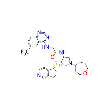 O=C(CNc1ncnc2ccc(C(F)(F)F)cc12)NC1CN(C2CCCOCC2)C[C@@H]1SC1CCc2cnccc21